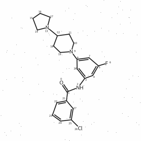 O=C(Nc1cc(F)cc(N2CCC(N3CCCC3)CC2)c1)c1cccc(Cl)c1